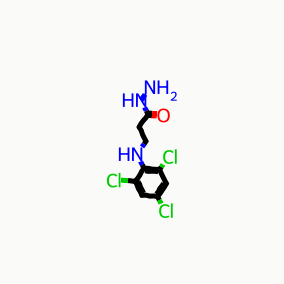 NNC(=O)CCNc1c(Cl)cc(Cl)cc1Cl